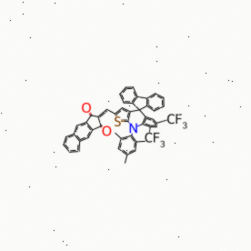 Cc1cc(C)c(N2c3sc(C=C4C(=O)c5cc6ccccc6cc5C4=O)cc3C3(c4ccccc4-c4ccccc43)c3cc(C(F)(F)F)cc(C(F)(F)F)c32)c(C)c1